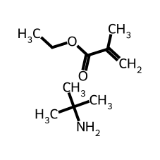 C=C(C)C(=O)OCC.CC(C)(C)N